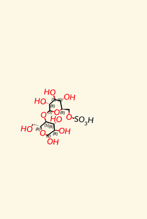 O=S(=O)(O)OC[C@H]1O[C@@H](O[C@H]2[C@H](O)[C@@H](O)[C@H](O)O[C@@H]2CO)[C@H](O)[C@@H](O)[C@@H]1O